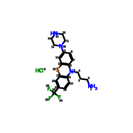 Cl.NCCCN1c2ccc(N3CCNCC3)cc2Sc2cc(C(F)(F)F)ccc21